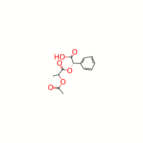 CC(=O)OC(C)C(=O)O[C@H](C(=O)O)c1ccccc1